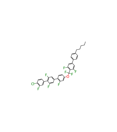 CCCCCc1ccc(-c2cc(F)c(C(F)(F)Oc3ccc(-c4cc(F)c(-c5ccc(Cl)c(F)c5)c(F)c4)c(F)c3)c(F)c2)cc1